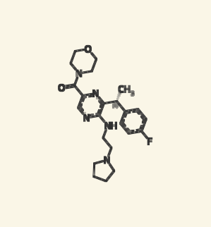 C[C@H](c1ccc(F)cc1)c1nc(C(=O)N2CCOCC2)cnc1NCCN1CCCC1